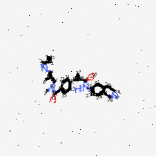 C=C/C=N\C=C(/C)CN(C)C(=O)c1ccc([C@@H]2C[C@H]2C(=O)Nc2ccc3cnccc3c2)cc1